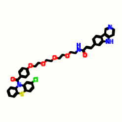 O=C(C=Cc1ccc2c(c1)[nH]c1ccncc12)NCCOCCOCCOCCOc1ccc(C(=O)N2c3ccccc3Sc3ccc(Cl)cc32)cc1